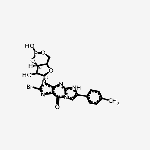 Cc1ccc(-c2cn3c(=O)c4nc(Br)n([C@@H]5OC6COP(O)O[C@H]6C5O)c4nc3[nH]2)cc1